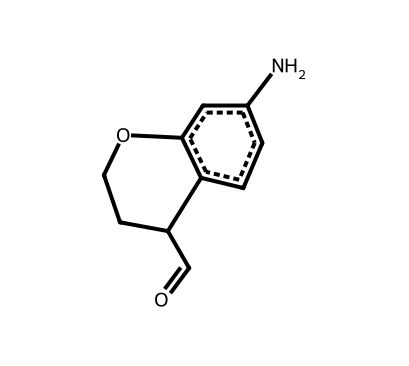 Nc1ccc2c(c1)OCCC2C=O